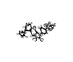 CC1(C)C(=O)N(c2ccc(S(=O)(=O)C(F)(F)F)cc2)C(=O)N1Cc1ccncc1-n1cccn1